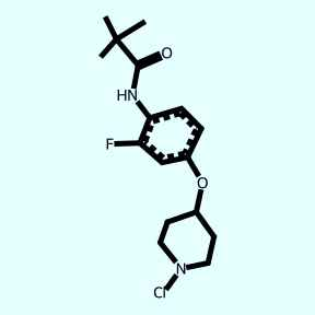 CC(C)(C)C(=O)Nc1ccc(OC2CCN(Cl)CC2)cc1F